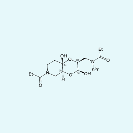 CCCN(C[C@@H]1O[C@@]2(O)CCN(C(=O)CC)C[C@@H]2O[C@@H]1O)C(=O)CC